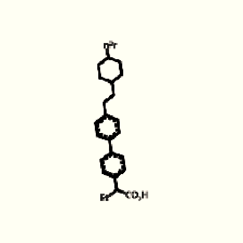 CCCC1CCC(CCc2ccc(-c3ccc(C(CC)C(=O)O)cc3)cc2)CC1